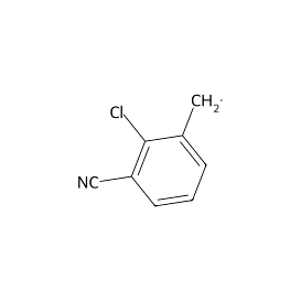 [CH2]c1cccc(C#N)c1Cl